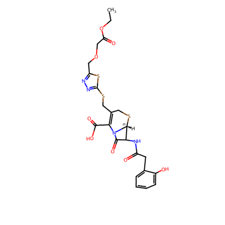 CCOC(=O)COCc1nnc(SCC2=C(C(=O)O)N3C(=O)C(NC(=O)Cc4ccccc4O)[C@H]3SC2)s1